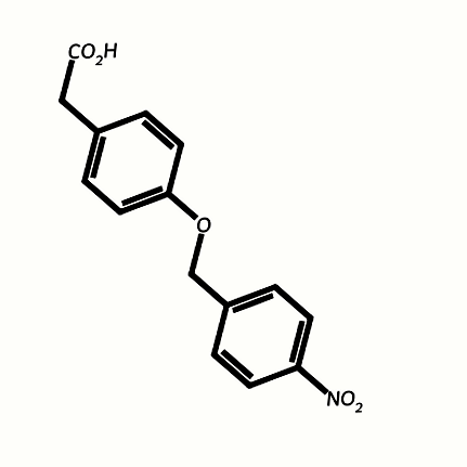 O=C(O)Cc1ccc(OCc2ccc([N+](=O)[O-])cc2)cc1